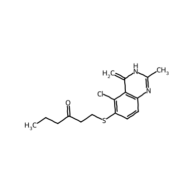 C=C1NC(C)=Nc2ccc(SCCC(=O)CCC)c(Cl)c21